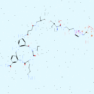 CCC(C)[C@@H]1NC(=O)c2cc(NC(=O)CCC(=O)NCC(C)(CC)COCC(C)(CC)CC(=O)NCC(O)C[n+]3ccn(CC(O)(P(=O)(O)O)P(=O)(O)O)c3)ccc2NCc2ccc(C(N)=O)cc2NC(=O)[C@H](CCCCN)NC1=O